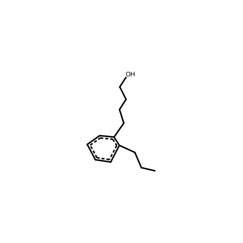 CCCc1ccccc1CCCCO